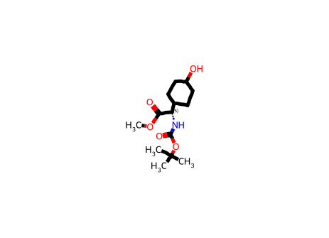 COC(=O)[C@@H](NC(=O)OC(C)(C)C)C1CCC(O)CC1